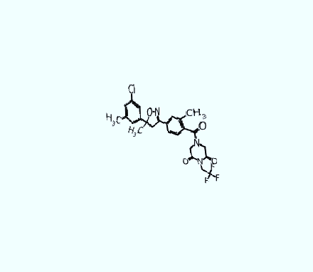 Cc1cc(Cl)cc(C2(C)CC(c3ccc(C(=O)N4CC(=O)N(CC(F)(F)F)C(=O)C4)c(C)c3)=NO2)c1